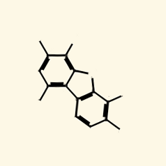 Cc1ccc2c(oc3c(F)c(C)cc(C)c32)c1F